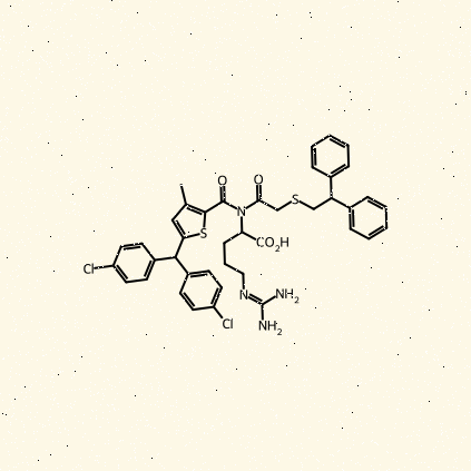 Cc1cc(C(c2ccc(Cl)cc2)c2ccc(Cl)cc2)sc1C(=O)N(C(=O)CSCC(c1ccccc1)c1ccccc1)C(CCCN=C(N)N)C(=O)O